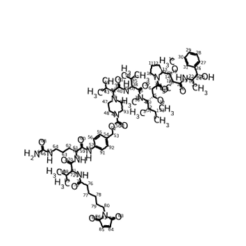 CC[C@H](C)[C@@H](C(CC(=O)N1CCC[C@H]1[C@H](OC)[C@@H](C)C(=O)N[C@H](C)[C@@H](O)c1ccccc1)OC)N(C)C(=O)[C@@H](NC(=O)[C@H](C(C)C)N1CCN(C(=O)OCc2ccc(NC(=O)[C@H](CCCNC(N)=O)NC(=O)[C@@H](NC(=O)CCCCCN3C(=O)C=CC3=O)C(C)C)cc2)CC1)C(C)C